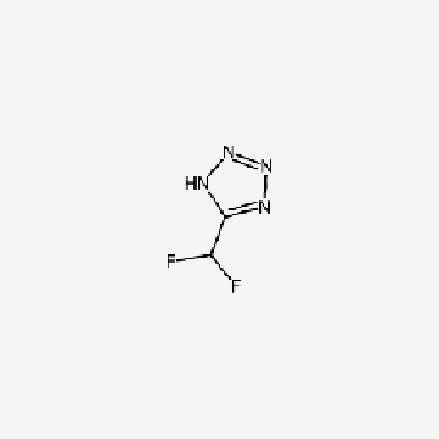 FC(F)c1nnn[nH]1